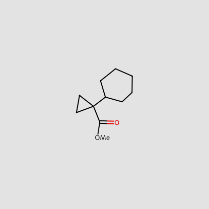 COC(=O)C1(C2CCCCC2)CC1